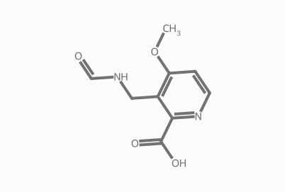 COc1ccnc(C(=O)O)c1CNC=O